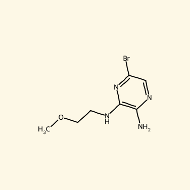 COCCNc1nc(Br)cnc1N